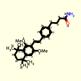 COc1cc2c(c(OC)c1/C=C/c1ccc(CCCC(N)=O)cc1)C(C)(C)CCC2(C)C